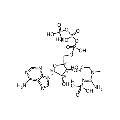 CN(CC(=O)O)C(N)=NP(=O)(O)O.Nc1ncnc2c1ncn2[C@@H]1O[C@H](COP(=O)(O)OP(=O)(O)OP(=O)(O)O)[C@@H](O)[C@H]1O